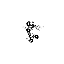 CC(C)(C)CN(Cc1cc(-c2cccnc2C#N)n(S(=O)(=O)c2ccccc2)c1)C(=O)O.CNCc1cc(-c2cccnc2C#N)n(S(=O)(=O)c2ccccc2)c1.Cl